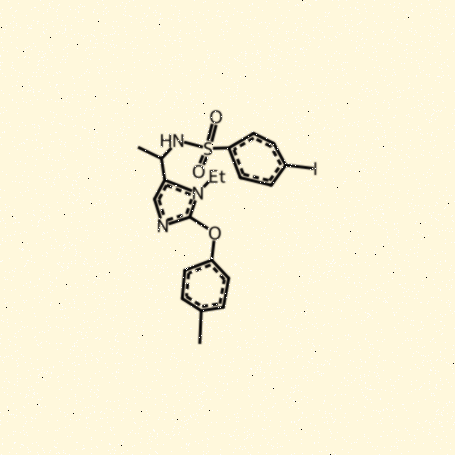 CCn1c(C(C)NS(=O)(=O)c2ccc(I)cc2)cnc1Oc1ccc(C)cc1